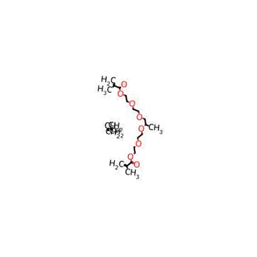 C=C.C=C.C=C(C)C(=O)OCCOCCOCC(C)OCCOCCOC(=O)C(=C)C